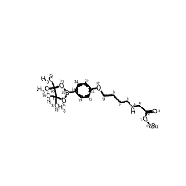 CC(C)(C)OC(=O)CNCCCCOc1ccc(B2OC(C)(C)C(C)(C)O2)cc1